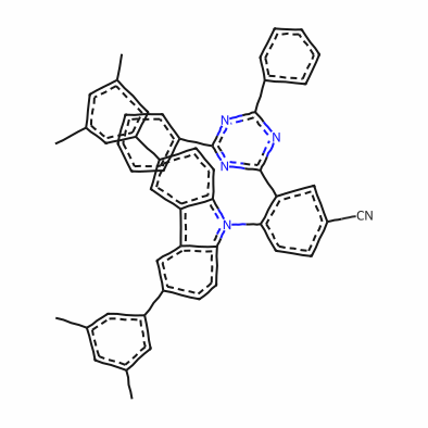 Cc1cc(C)cc(-c2ccc3c(c2)c2cc(-c4cc(C)cc(C)c4)ccc2n3-c2ccc(C#N)cc2-c2nc(-c3ccccc3)nc(-c3ccccc3)n2)c1